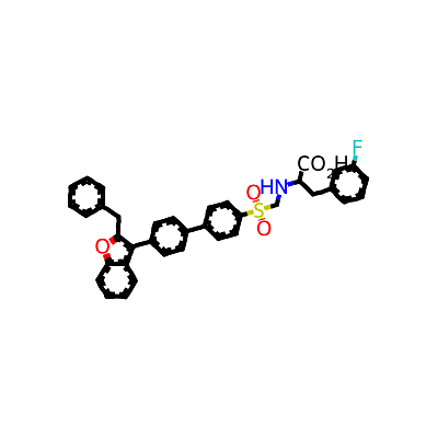 O=C(O)C(Cc1cccc(F)c1)NCS(=O)(=O)c1ccc(-c2ccc(-c3c(Cc4ccccc4)oc4ccccc34)cc2)cc1